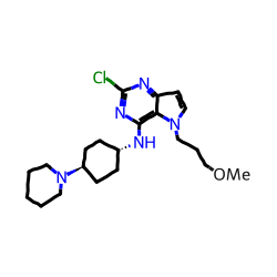 COCCCn1ccc2nc(Cl)nc(N[C@H]3CC[C@H](N4CCCCC4)CC3)c21